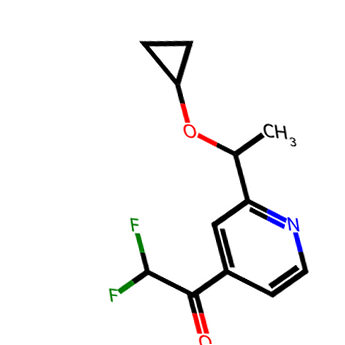 CC(OC1CC1)c1cc(C(=O)C(F)F)ccn1